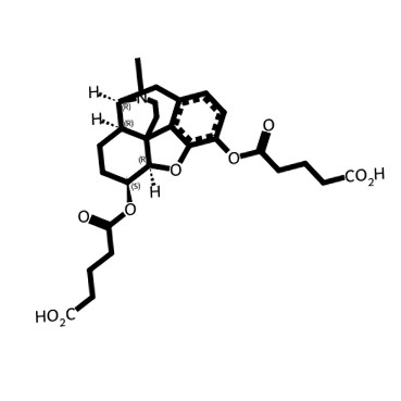 CN1CCC23c4c5ccc(OC(=O)CCCC(=O)O)c4O[C@H]2[C@@H](OC(=O)CCCC(=O)O)CC[C@H]3[C@H]1C5